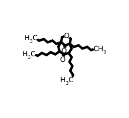 CCCCCCC1CC2(CCCCCC)COCC(CCCCCC)(CC(CCCCCC)C1=O)C2=O